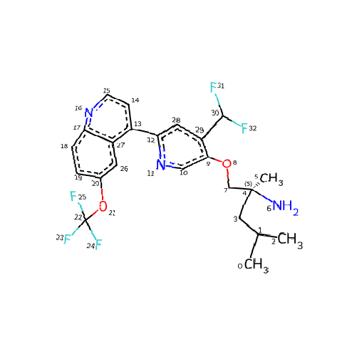 CC(C)C[C@](C)(N)COc1cnc(-c2ccnc3ccc(OC(F)(F)F)cc23)cc1C(F)F